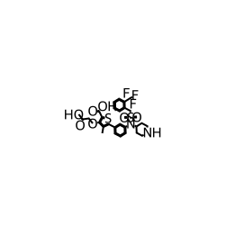 Cc1c(-c2cccc(N(C3CCNCC3)S(=O)(=O)Cc3ccccc3C(F)(F)F)c2)sc(C(=O)O)c1OCC(=O)O